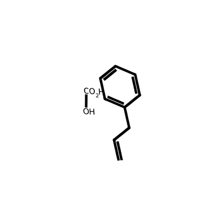 C=CCc1ccccc1.O=C(O)O